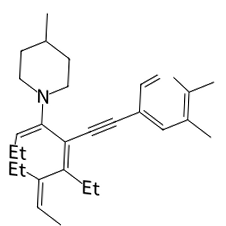 C=C/C(C#CC(=C(CC)/C(=C\C)CC)/C(=C\CC)N1CCC(C)CC1)=C\C(C)=C(C)C